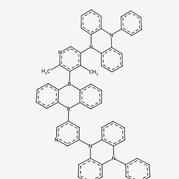 Cc1ncc(N2c3ccccc3N(c3ccccc3)c3ccccc32)c(C)c1B1c2ccccc2B(c2cncc(N3c4ccccc4N(c4ccccc4)c4ccccc43)c2)c2ccccc21